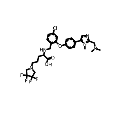 CN(C)Cc1ncc(-c2ccc(Oc3cc(Cl)ccc3CNC(CCCN3CC(F)(F)C(F)(F)C3)C(=O)O)cc2)n1C